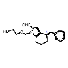 O=Cc1cc2c(n1COCCS)CCC/C2=C\c1ccccc1